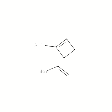 C=CC(C)CC.CC(=O)OC1=CCC1